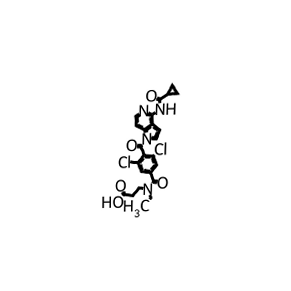 CCN(CCC(=O)O)C(=O)c1cc(Cl)c(C(=O)n2ccc3c(NC(=O)C4CC4)nccc32)c(Cl)c1